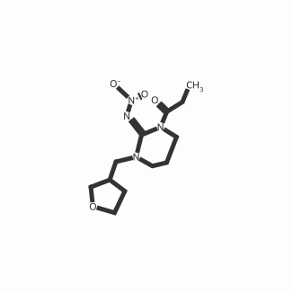 CCC(=O)N1CCCN(CC2CCOC2)/C1=N/[N+](=O)[O-]